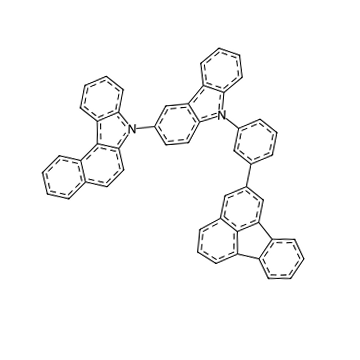 c1cc(-c2cc3c4c(cccc4c2)-c2ccccc2-3)cc(-n2c3ccccc3c3cc(-n4c5ccccc5c5c6ccccc6ccc54)ccc32)c1